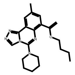 C=C(OCCCC)c1cc(C)cc2c1nc(N1CCCCC1)n1cnnc21